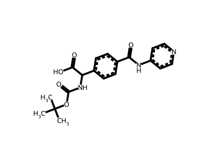 CC(C)(C)OC(=O)NC(C(=O)O)c1ccc(C(=O)Nc2ccncc2)cc1